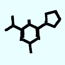 CC1N=C(N(C)C)NC(N2CCCC2)=N1